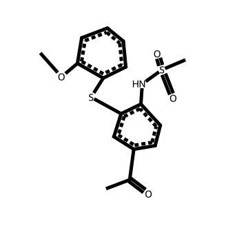 COc1ccccc1Sc1cc(C(C)=O)ccc1NS(C)(=O)=O